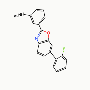 CC(=O)Nc1cccc(-c2nc3ccc(-c4ccccc4F)cc3o2)c1